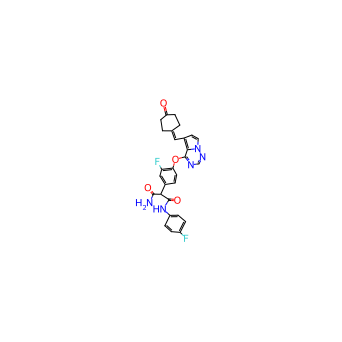 NC(=O)C(C(=O)Nc1ccc(F)cc1)c1ccc(Oc2ncnn3ccc(C=C4CCC(=O)CC4)c23)c(F)c1